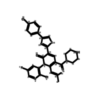 CCc1ncc(F)cc1-n1c(C=C(C)C)c(C(=O)N2CCNCC2)cc(-c2nc(-c3ccc(Cl)cc3)cs2)c1=O